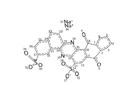 O=C1c2ccccc2C(=O)c2c1cc(S(=O)(=O)[O-])c1nc3c(ccc4ccc(S(=O)(=O)[O-])cc43)nc21.[Na+].[Na+]